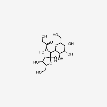 O=C(CO)OC(C1O[C@H](CO)[C@H](O)[C@H](O)[C@H]1O)C1(O)O[C@H](CO)[C@@H](O)[C@@H]1O